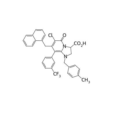 Cc1ccc(CN2CC(C(=O)O)n3c2c(-c2cccc(C(F)(F)F)c2)c(Cc2cccc4ccccc24)c(Cl)c3=O)cc1